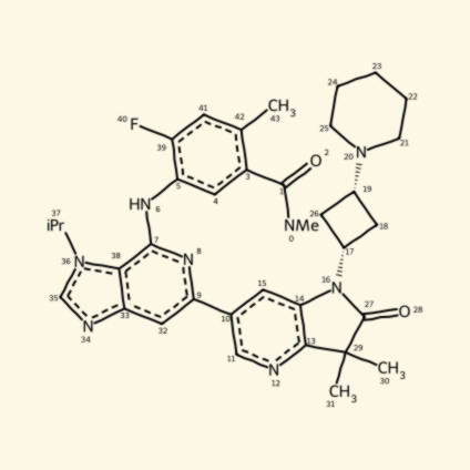 CNC(=O)c1cc(Nc2nc(-c3cnc4c(c3)N([C@H]3C[C@@H](N5CCCCC5)C3)C(=O)C4(C)C)cc3ncn(C(C)C)c23)c(F)cc1C